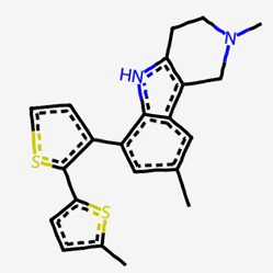 Cc1cc(-c2ccsc2-c2ccc(C)s2)c2[nH]c3c(c2c1)CN(C)CC3